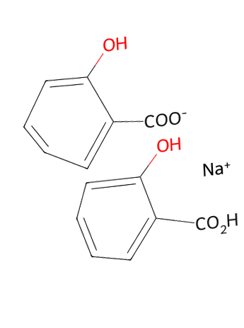 O=C(O)c1ccccc1O.O=C([O-])c1ccccc1O.[Na+]